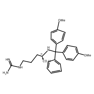 COc1ccc(C(N[C@H](CCCNC(=N)N)C(=O)O)(c2ccccc2)c2ccc(OC)cc2)cc1